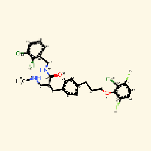 CNCC(Cc1ccc(CCCOc2c(F)ccc(F)c2Cl)cc1)C(=O)NCc1cccc(Cl)c1Cl